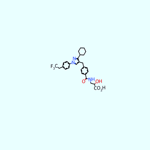 O=C(NCC(O)C(=O)O)c1ccc(Cc2cn(-c3ccc(CC(F)(F)F)cc3)nc2C2CCCCC2)cc1